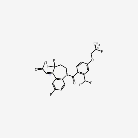 C[C@@H](F)COc1ccc(C(=O)N2CCC(F)(F)/C(=C\C(=O)Cl)c3cc(F)ccc32)c(C(F)F)c1